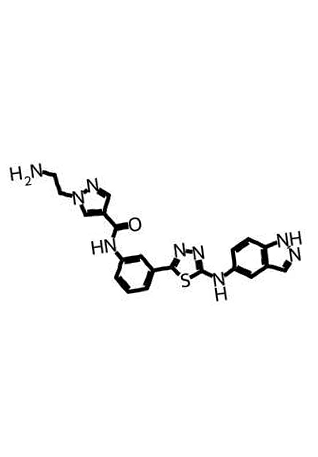 NCCn1cc(C(=O)Nc2cccc(-c3nnc(Nc4ccc5[nH]ncc5c4)s3)c2)cn1